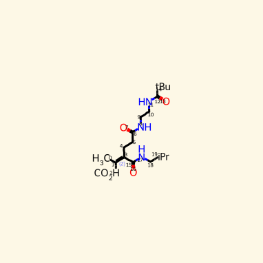 C/C(C(=O)O)=C(\CCC(=O)NCCNC(=O)C(C)(C)C)C(=O)NCC(C)C